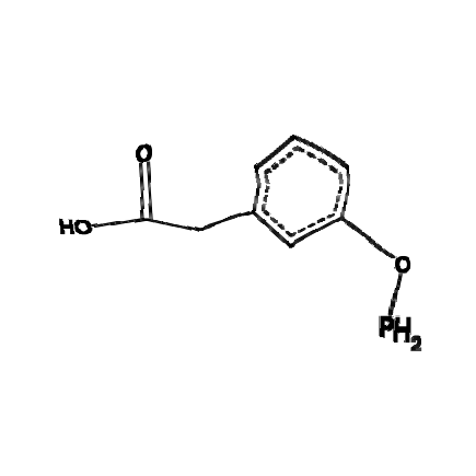 O=C(O)Cc1cccc(OP)c1